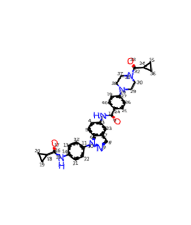 O=C(Nc1ccc2c(cnn2-c2ccc(NC(=O)C3CC3)cc2)c1)c1ccc(N2CCN(C(=O)C3CC3)CC2)cc1